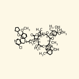 CC[C@H]1OC(=O)[C@H](C)[C@@H](O[C@H]2C[C@@](C)(OC)[C@@H](O)[C@H](C)O2)[C@H](C)[C@@H](O[C@@H]2O[C@H](C)CC[C@H]2O)[C@](C)(OC)C[C@@H](C)C(=O)[C@H](C)[C@H]2[C@H](SCCN(Cc3c(Cl)cncc3Cl)c3ccc(OC)c(OC4CCCC4)c3)C(=O)O[C@@]21C